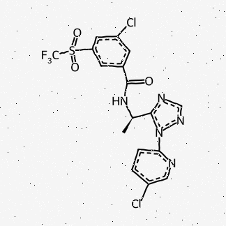 C[C@@H](NC(=O)c1cc(Cl)cc(S(=O)(=O)C(F)(F)F)c1)c1ncnn1-c1ccc(Cl)cn1